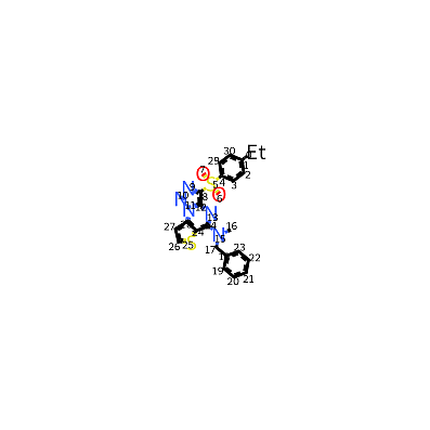 CCc1ccc(S(=O)(=O)c2nnn3c2nc(N(C)Cc2ccccc2)c2sccc23)cc1